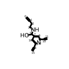 C#CCCNC(O)c1cc(C#C)nc(C#C)c1